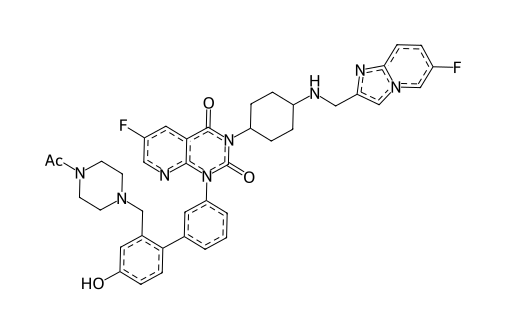 CC(=O)N1CCN(Cc2cc(O)ccc2-c2cccc(-n3c(=O)n(C4CCC(NCc5cn6cc(F)ccc6n5)CC4)c(=O)c4cc(F)cnc43)c2)CC1